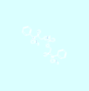 C[C@H](C(=O)CO[PH](=O)OCC(=O)[C@@H](C)c1ccccc1)c1ccccc1